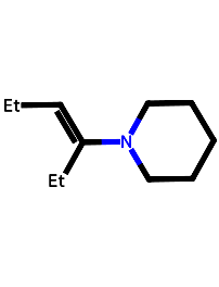 CC/C=C(\CC)N1CCCCC1